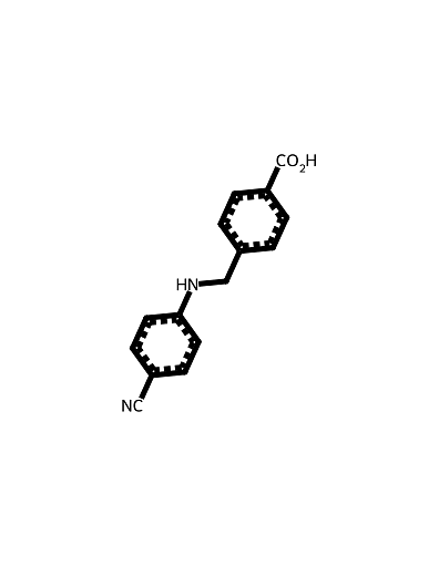 N#Cc1ccc(NCc2ccc(C(=O)O)cc2)cc1